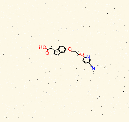 N#Cc1ccc(OCCCOc2ccc3c(c2)CC[C@H]3CC(=O)O)nc1